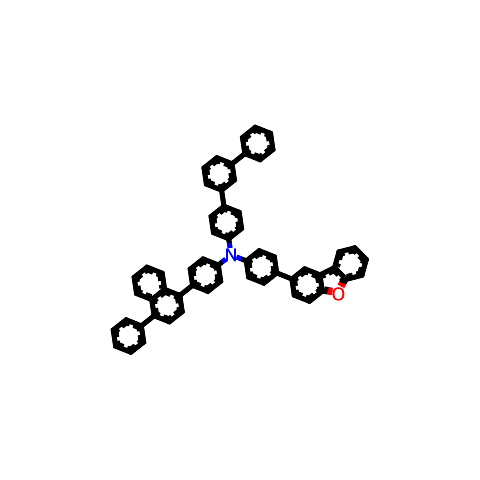 c1ccc(-c2cccc(-c3ccc(N(c4ccc(-c5ccc6oc7ccccc7c6c5)cc4)c4ccc(-c5ccc(-c6ccccc6)c6ccccc56)cc4)cc3)c2)cc1